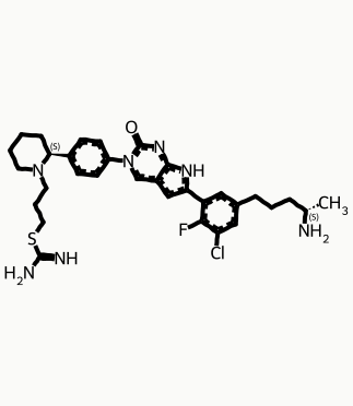 C[C@H](N)CCCc1cc(Cl)c(F)c(-c2cc3cn(-c4ccc([C@@H]5CCCCN5CCCSC(=N)N)cc4)c(=O)nc3[nH]2)c1